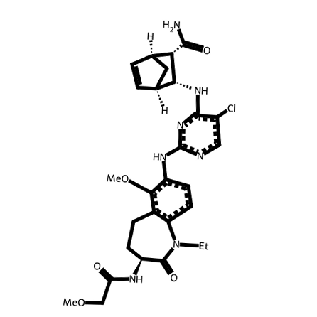 CCN1C(=O)[C@@H](NC(=O)COC)CCc2c1ccc(Nc1ncc(Cl)c(N[C@H]3[C@@H](C(N)=O)[C@@H]4C=C[C@H]3C4)n1)c2OC